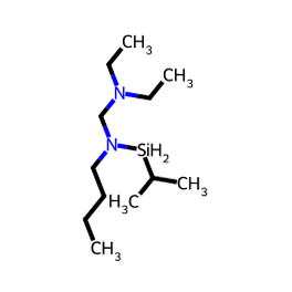 CCCCN(CN(CC)CC)[SiH2]C(C)C